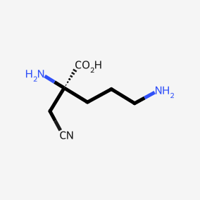 N#CC[C@@](N)(CCCN)C(=O)O